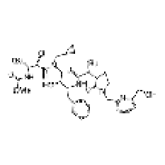 COC(=O)NC(C(=O)NN(CC1CC1)CC(O)C(Cc1ccccc1)NC(=O)C(N1CCN(Cc2cccc(CO)n2)C1=O)C(C)(C)C)C(C)(C)C